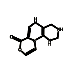 O=C1OC=CN2C1=CNC1=C2NCNC1